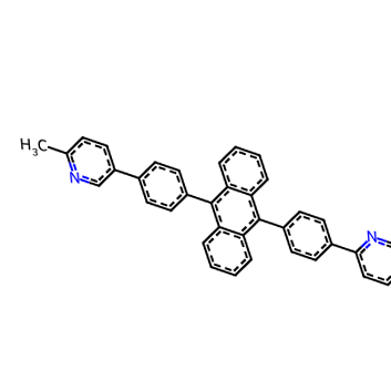 Cc1ccc(-c2ccc(-c3c4ccccc4c(-c4ccc(-c5ccccn5)cc4)c4ccccc34)cc2)cn1